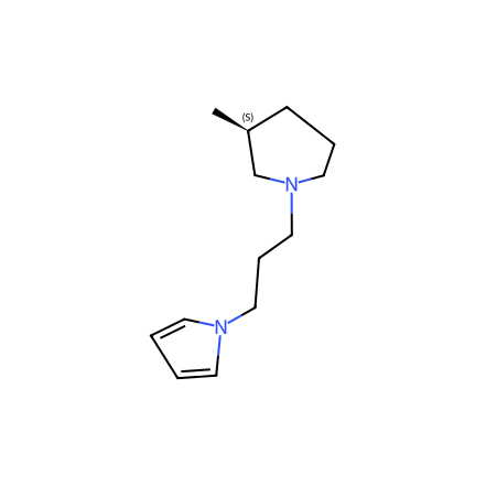 C[C@H]1CCCN(CCCn2cccc2)C1